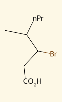 CCCC(C)C(Br)CC(=O)O